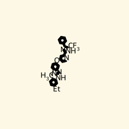 CCc1cccc(Nc2nc3cc(Oc4ccnc(C5=NC(c6ccccc6)C(C(F)(F)F)N5)c4)ccc3n2C)c1